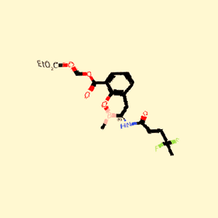 CCOC(=O)OCOC(=O)c1cccc2c1OB(C)[C@@H](NC(=O)CCC(C)(F)F)C2